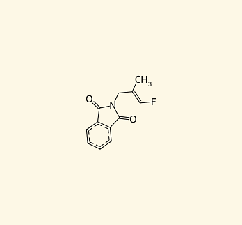 CC(=CF)CN1C(=O)c2ccccc2C1=O